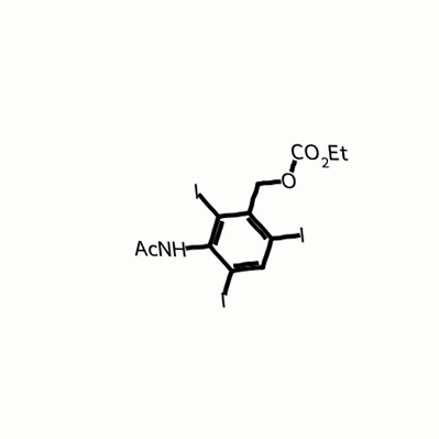 CCOC(=O)OCc1c(I)cc(I)c(NC(C)=O)c1I